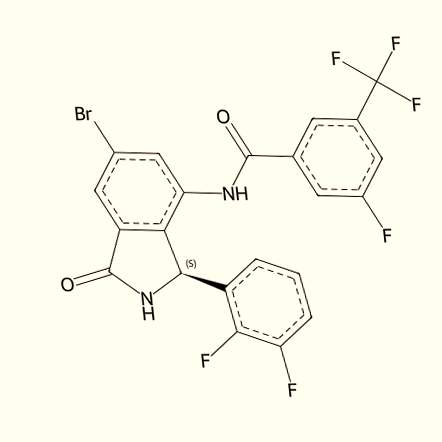 O=C(Nc1cc(Br)cc2c1[C@@H](c1cccc(F)c1F)NC2=O)c1cc(F)cc(C(F)(F)F)c1